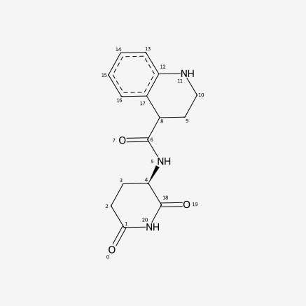 O=C1CC[C@@H](NC(=O)C2CCNc3ccccc32)C(=O)N1